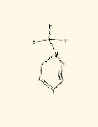 CC1=CCN(C(F)(F)F)C=C1